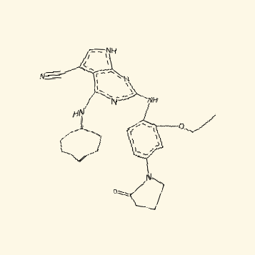 CCOc1cc(N2CCCC2=O)ccc1Nc1nc(NC2CCCCC2)c2c(C#N)c[nH]c2n1